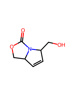 O=C1OCC2C=CC(CO)N12